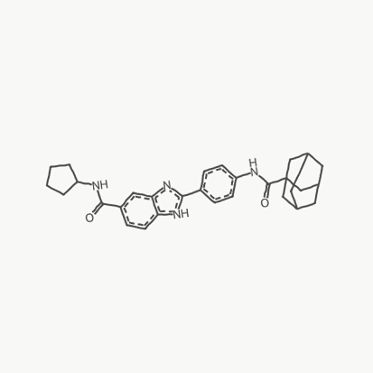 O=C(NC1CCCC1)c1ccc2[nH]c(-c3ccc(NC(=O)C45CC6CC(CC(C6)C4)C5)cc3)nc2c1